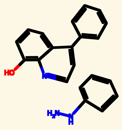 NNc1ccccc1.Oc1cccc2c(-c3ccccc3)ccnc12